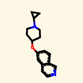 c1cc2cc(OC3CCN(C4CC4)CC3)ccc2cn1